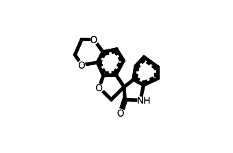 O=C1Nc2ccccc2C12COc1c2ccc2c1OCCO2